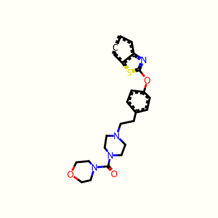 O=C(N1CCOCC1)N1CCN(CCc2ccc(Oc3nc4ccccc4s3)cc2)CC1